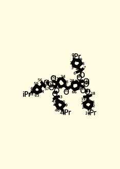 CC(C)c1ccc(C(C)(C)OOC(=O)C2(C(=O)OOC(C)(C)c3ccc(C(C)C)cc3)C=CC(C(=O)C3C=CCC(C(=O)OOC(C)(C)c4ccc(C(C)C)cc4)(C(=O)OOC(C)(C)c4ccc(C(C)C)cc4)C3)C=C2)cc1